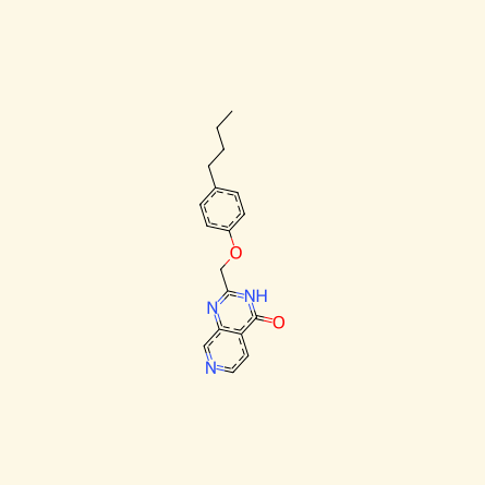 CCCCc1ccc(OCc2nc3cnccc3c(=O)[nH]2)cc1